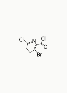 O=C(Cl)C1=C(Br)CCC(Cl)=N1